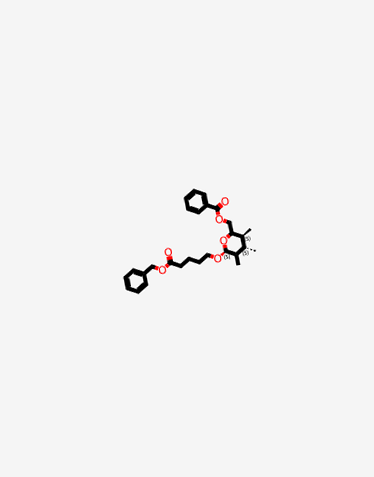 CC1[C@@H](OCCCCC(=O)OCc2ccccc2)OC(COC(=O)c2ccccc2)[C@@H](C)[C@@H]1C